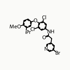 COc1ccc(Oc2c(Cl)cc(NC(=O)Cc3cncc(Br)c3)cc2Cl)cc1C(C)C